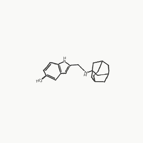 Oc1ccc2[nH]c(CNC34CC5CC(CC(C5)C3)C4)cc2c1